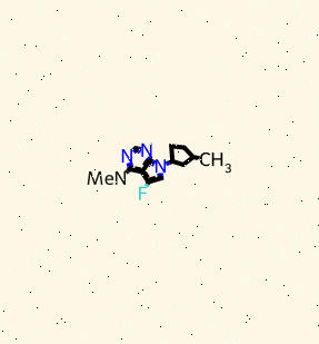 CNc1ncnc2c1c(F)cn2C1CCC(C)C1